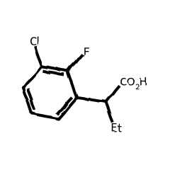 CCC(C(=O)O)c1cccc(Cl)c1F